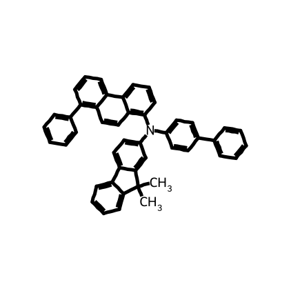 CC1(C)c2ccccc2-c2ccc(N(c3ccc(-c4ccccc4)cc3)c3cccc4c3ccc3c(-c5ccccc5)cccc34)cc21